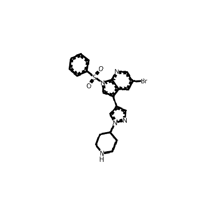 O=S(=O)(c1ccccc1)n1cc(-c2cnn(C3CCNCC3)c2)c2cc(Br)cnc21